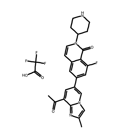 CC(=O)c1cc(-c2cc(F)c3c(=O)n(C4CCNCC4)ccc3c2)cn2cc(C)nc12.O=C(O)C(F)(F)F